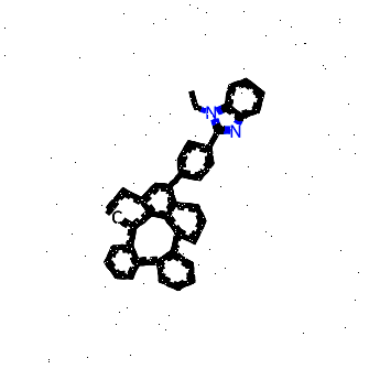 CCn1c(-c2ccc(-c3cc4cccc5c6ccccc6c6ccccc6c6cccc3c6c45)cc2)nc2ccccc21